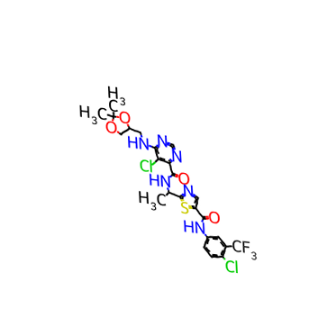 CC(NC(=O)c1ncnc(NCC2COC(C)(C)O2)c1Cl)c1ncc(C(=O)Nc2ccc(Cl)c(C(F)(F)F)c2)s1